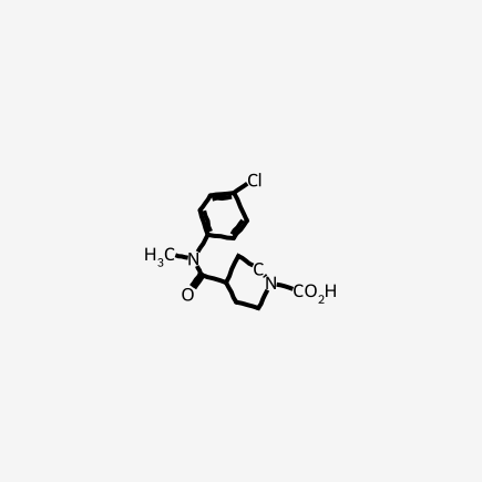 CN(C(=O)C1CCN(C(=O)O)CC1)c1ccc(Cl)cc1